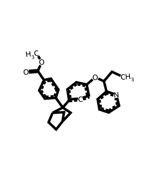 CCC(Oc1ccc(C2(c3ccc(C(=O)OC)cc3)CC3CCC2C3)cc1)c1ccccn1